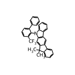 CC1(C)c2ccccc2-c2cc3c4ccccc4n(-c4c(-c5ccccc5)cccc4C(F)(F)F)c3cc21